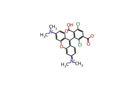 CN(C)c1ccc2c(-c3c(Cl)c(C(=O)[O-])cc(Cl)c3C(=O)O)c3ccc(=[N+](C)C)cc-3oc2c1